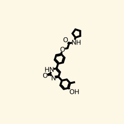 CC1=C(O)C=CC(c2cc(-c3ccc(OCC(=O)NC4CCCC4)cc3)[nH]c(=O)n2)C1